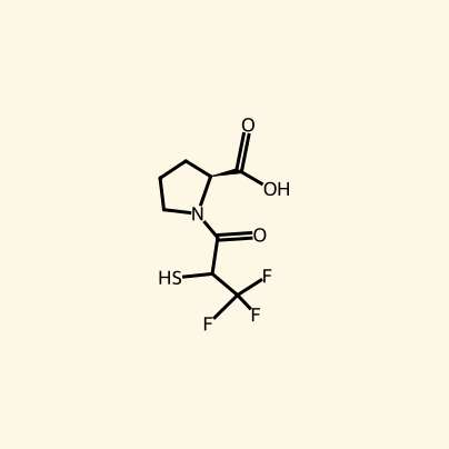 O=C(O)[C@@H]1CCCN1C(=O)C(S)C(F)(F)F